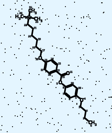 CCCCOc1ccc(OC(=O)c2ccc(OCCCCCC[Si](C)(C)C)cc2)cc1